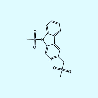 CS(=O)(=O)Cc1cc2c3ccccc3n(S(C)(=O)=O)c2cn1